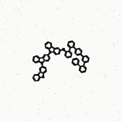 c1ccc(-c2ccccc2-c2cccc(-c3ccc(-c4ccccc4-c4ccccc4Oc4ccc5c(c4)c4ccccc4n5-c4ccc5c(c4)c4ccccc4n5-c4ccc5sc6ccccc6c5c4)cc3)c2)cc1